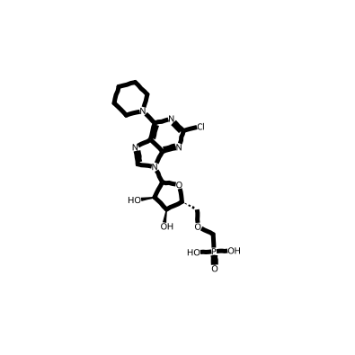 O=P(O)(O)COC[C@H]1OC(n2cnc3c(N4CCCCC4)nc(Cl)nc32)[C@H](O)[C@@H]1O